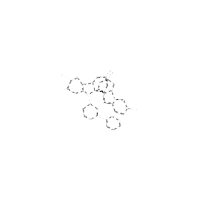 Brc1ccc2c(c1)c1cc(Br)ccc1n2-c1cccc(-c2ccccc2)c1-n1c2ccc(Br)cc2c2cc(Br)ccc21